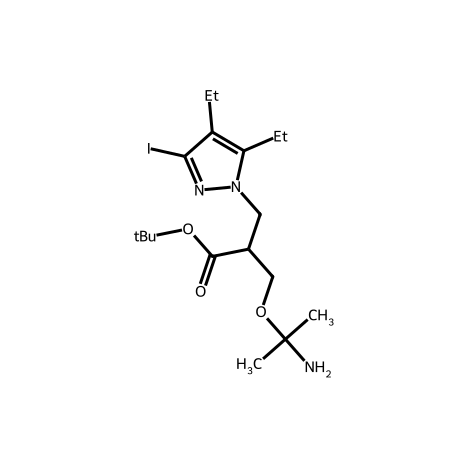 CCc1c(I)nn(CC(COC(C)(C)N)C(=O)OC(C)(C)C)c1CC